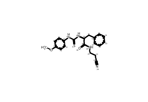 COc1ccc(NC(=S)NC(Cc2ccccc2)C(=O)NCCC#N)cc1